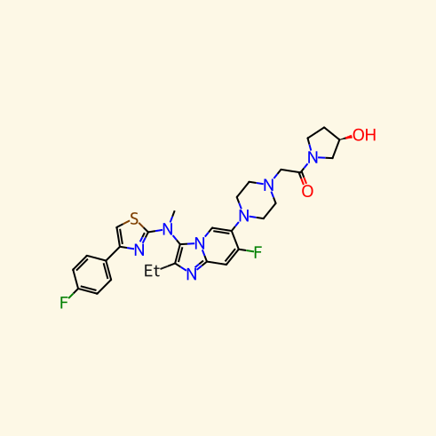 CCc1nc2cc(F)c(N3CCN(CC(=O)N4CC[C@@H](O)C4)CC3)cn2c1N(C)c1nc(-c2ccc(F)cc2)cs1